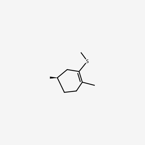 CSC1=C(C)CC[C@@H](C)C1